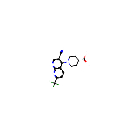 C[C@@H]1CN(c2c(C#N)cnc3nc(C(F)(F)F)ccc23)CC[C@@H]1C(=O)O